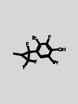 CC(C)c1cc(C2(F)C(C)C2(F)F)c(Br)c(F)c1O